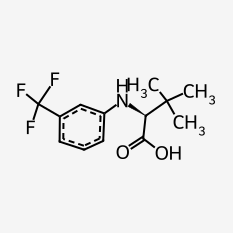 CC(C)(C)[C@H](Nc1cccc(C(F)(F)F)c1)C(=O)O